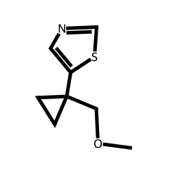 COCC1(c2cncs2)CC1